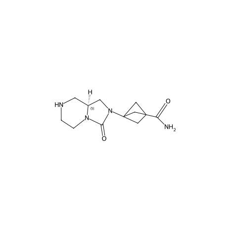 NC(=O)C12CC(N3C[C@@H]4CNCCN4C3=O)(C1)C2